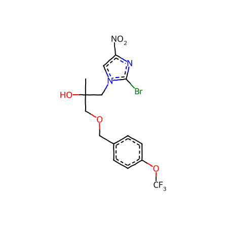 CC(O)(COCc1ccc(OC(F)(F)F)cc1)Cn1cc([N+](=O)[O-])nc1Br